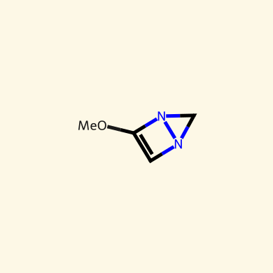 COc1cn2n1C2